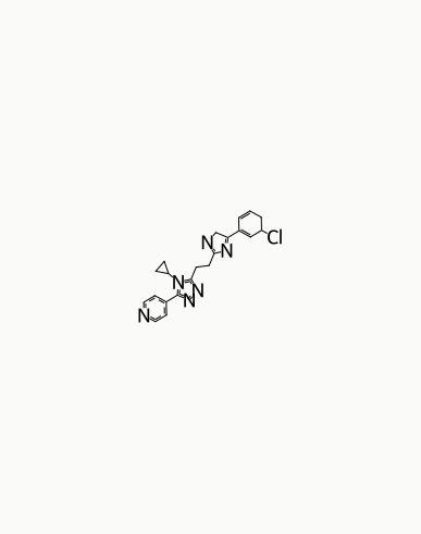 ClC1C=C(C2=NC(CCc3nnc(-c4ccncc4)n3C3CC3)=NC2)C=CC1